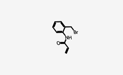 C=CC(=O)Nc1ccccc1CBr